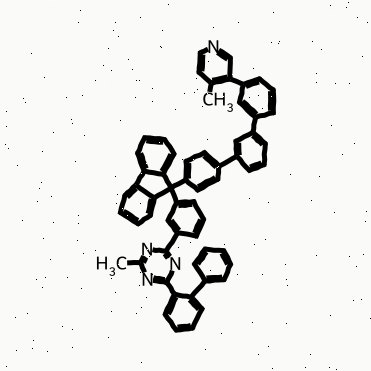 Cc1nc(-c2cccc(C3(c4ccc(-c5cccc(-c6cccc(-c7cnccc7C)c6)c5)cc4)c4ccccc4-c4ccccc43)c2)nc(-c2ccccc2-c2ccccc2)n1